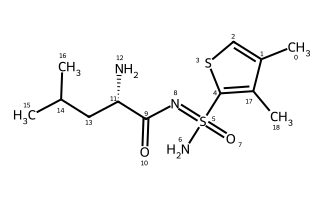 Cc1csc(S(N)(=O)=NC(=O)[C@@H](N)CC(C)C)c1C